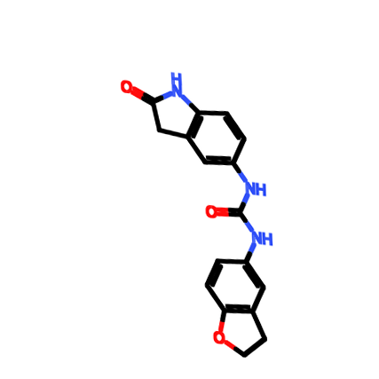 O=C1Cc2cc(NC(=O)Nc3ccc4c(c3)CCO4)ccc2N1